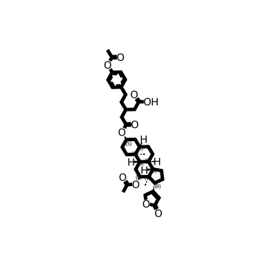 CC(=O)Oc1ccc(CCC(CC(=O)O)CC(=O)O[C@H]2CC[C@@]3(C)[C@H](CC[C@@H]4[C@@H]3C[C@@H](OC(C)=O)[C@]3(C)[C@@H](C5=CC(=O)OC5)CC[C@@H]43)C2)cc1